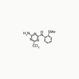 CSc1ccccc1Nc1nc(N)nc(C(Cl)(Cl)Cl)n1